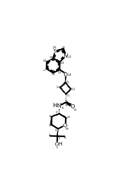 CC(C)(O)[C@H]1CC[C@H](NC(=O)[C@H]2C[C@H](Oc3cccc4scnc34)C2)CO1